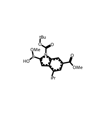 COB(O)c1cc2c(C(C)C)cc(C(=O)OC)cc2n1C(=O)OC(C)(C)C